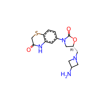 NC1CN(C[C@@H]2CN(c3ccc4c(c3)NC(=O)CS4)C(=O)O2)C1